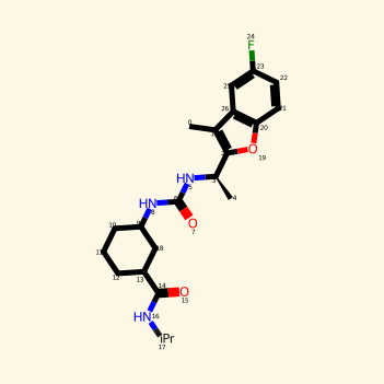 Cc1c([C@@H](C)NC(=O)NC2CCCC(C(=O)NC(C)C)C2)oc2ccc(F)cc12